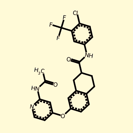 CC(=O)Nc1cc(Oc2ccc3c(c2)CC(C(=O)Nc2ccc(Cl)c(C(F)(F)F)c2)CC3)ccn1